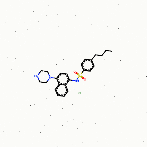 CCCCc1ccc(S(=O)(=O)Nc2ccc(N3CCNCC3)c3ccccc23)cc1.Cl